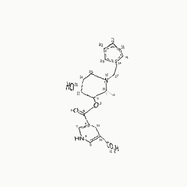 C[C@@H]1C(OC(=O)C2=CNC=C(C(=O)O)C2)CCCN1Cc1ccccc1.Cl